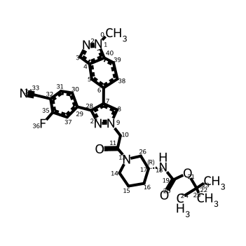 Cn1ncc2cc(-c3cn(CC(=O)N4CCC[C@@H](NC(=O)OC(C)(C)C)C4)nc3-c3ccc(C#N)c(F)c3)ccc21